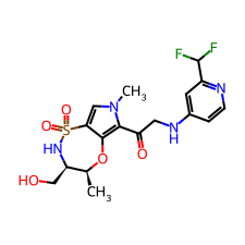 C[C@@H]1Oc2c(cn(C)c2C(=O)CNc2ccnc(C(F)F)c2)S(=O)(=O)N[C@@H]1CO